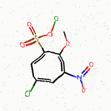 COc1c([N+](=O)[O-])cc(Cl)cc1S(=O)(=O)OCl